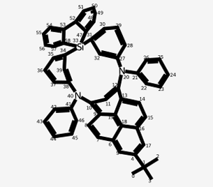 CC(C)(C)c1cc2ccc3c4cc(c5ccc(c1)c2c35)N(c1ccccc1)c1cccc(c1)[Si]1(c2cccc(c2)N4c2ccccc2)c2ccccc2-c2ccccc21